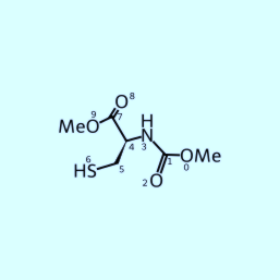 COC(=O)N[C@@H](CS)C(=O)OC